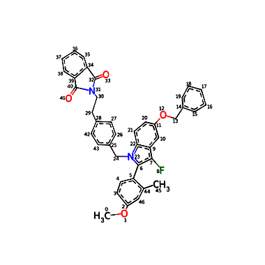 COc1ccc(-c2c(F)c3cc(OCc4ccccc4)ccc3n2Cc2ccc(CCN3C(=O)c4ccccc4C3=O)cc2)c(C)c1